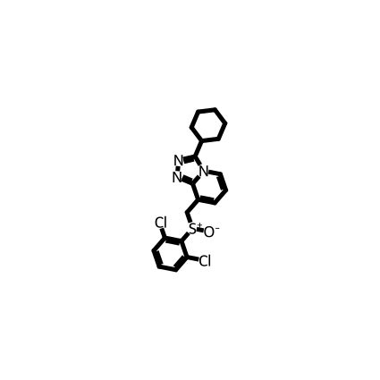 [O-][S+](Cc1cccn2c(C3CCCCC3)nnc12)c1c(Cl)cccc1Cl